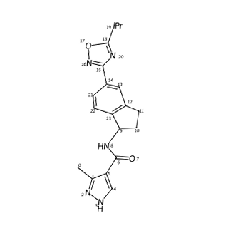 Cc1n[nH]cc1C(=O)NC1CCc2cc(-c3noc(C(C)C)n3)ccc21